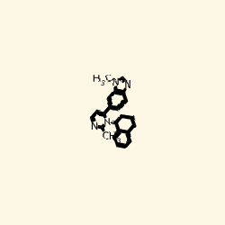 CC1N=CC=C(c2ccc3ncn(C)c3c2)N1[C@@H]1CCCc2ccccc21